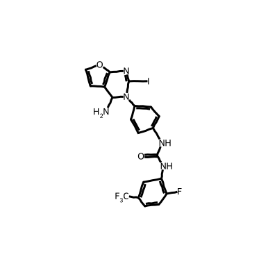 NC1c2ccoc2N=C(I)N1c1ccc(NC(=O)Nc2cc(C(F)(F)F)ccc2F)cc1